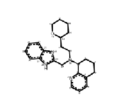 c1cnc2c(c1)CCC[C@@H]2N(CCC1CCCCO1)Cc1nc2ccccc2[nH]1